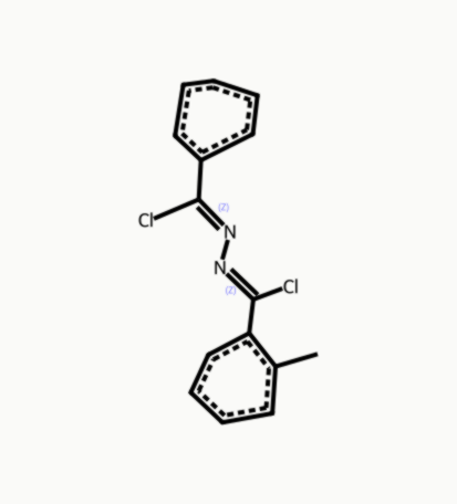 Cc1ccccc1/C(Cl)=N/N=C(\Cl)c1ccccc1